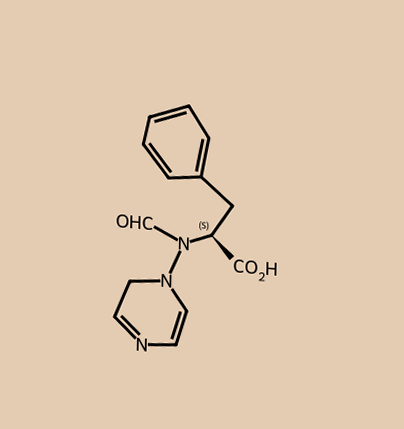 O=CN([C@@H](Cc1ccccc1)C(=O)O)N1C=CN=CC1